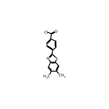 Cc1cc2nc(-c3ccc(C(=O)Cl)cc3)sc2cc1C